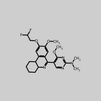 COc1cc2c(cc1OCC(F)F)C1CCCCC1N=C2c1cnc(N(C)C)nc1OC